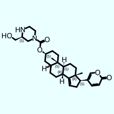 C[C@]12CC[C@H](OC(=O)N3CCN[C@H](CO)C3)C[C@H]1CC[C@H]1C3=CC[C@H](c4ccc(=O)oc4)[C@@]3(C)CC[C@@H]12